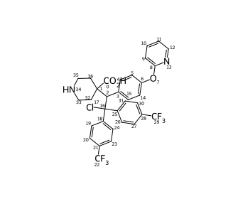 O=C(O)C1(C(c2ccc(Oc3ccccn3)cc2)C(Cl)(c2ccc(C(F)(F)F)cc2)c2ccc(C(F)(F)F)cc2)CCNCC1